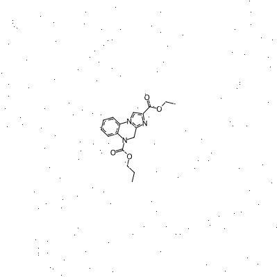 CCCOC(=O)N1Cc2nc(C(=O)OCC)cn2-c2ccccc21